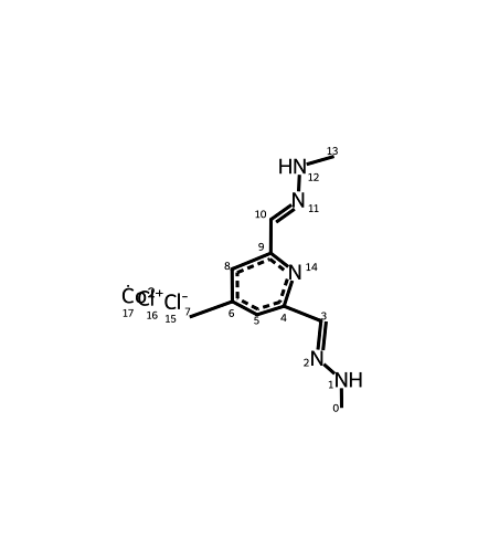 CNN=Cc1cc(C)cc(C=NNC)n1.[Cl-].[Cl-].[Co+2]